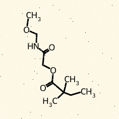 CCC(C)(C)C(=O)OCC(=O)NCOC